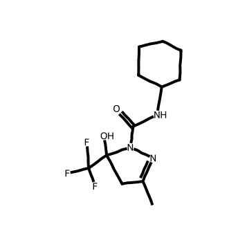 CC1=NN(C(=O)NC2CCCCC2)C(O)(C(F)(F)F)C1